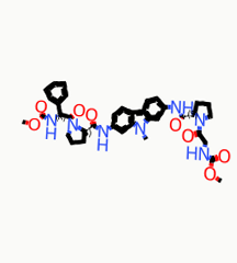 COC(=O)NCC(=O)N1CCC[C@H]1C(=O)Nc1ccc2c3ccc(NC(=O)[C@@H]4CCCN4C(=O)[C@H](NC(=O)OC)c4ccccc4)cc3n(C)c2c1